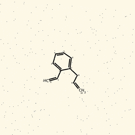 [CH]=Cc1ccccc1CC=C